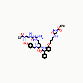 CCC(=O)NCCNC(=O)/N=C(/N)NCCC[C@@H](NC(=O)C(c1ccccc1)c1cccc(OCCCCNC(=O)CNC(=O)OC(C)(C)C)c1)C(=O)NCc1ccc(O)cc1